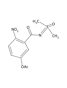 CC(=O)Oc1ccc([N+](=O)[O-])c(C(=O)N=S(C)(C)=O)c1